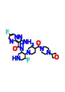 Nc1nn2cc(F)cnc2c1C(=O)NC1CNCC(F)C1N1CCC(C(=O)N2CCN(C3COC3)CC2)CC1